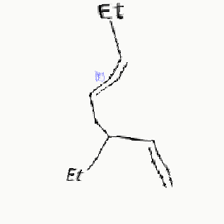 [CH2]CC(C=C)/C=C/CC